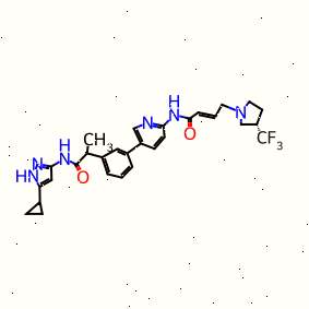 CC(C(=O)Nc1cc(C2CC2)[nH]n1)c1cccc(-c2ccc(NC(=O)/C=C/CN3CC[C@H](C(F)(F)F)C3)nc2)c1